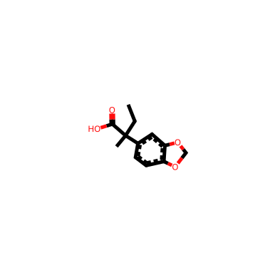 CCC(C)(C(=O)O)c1ccc2c(c1)OCO2